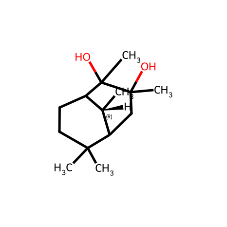 C[C@@H]1C2CC(C)(O)C(C)(O)C1CCC2(C)C